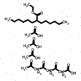 CC(=O)O.CC(=O)O.CC(=O)O.CC(=O)O.CC(=O)O.CC(=O)O.CC(=O)O.CCCCCCC(CCCCCC)C(=O)OCC